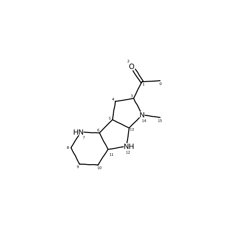 CC(=O)C1CC2C3NCCCC3NC2N1C